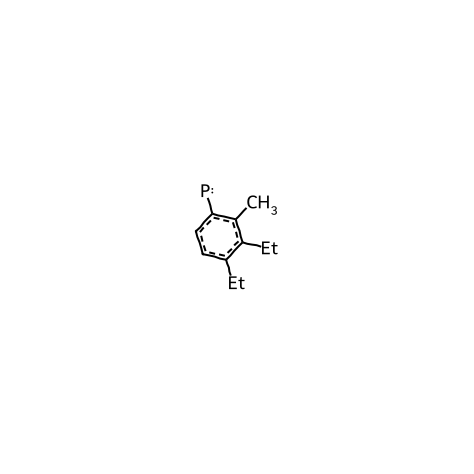 CCc1ccc([P])c(C)c1CC